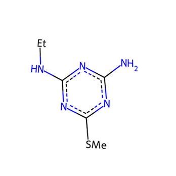 CCNc1nc(N)nc(SC)n1